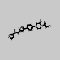 O=C(CO)N1CCN(c2ccc(-c3cc(CNc4ccon4)on3)cc2)CC1F